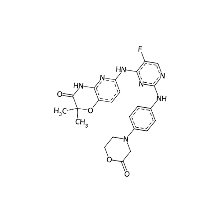 CC1(C)Oc2ccc(Nc3nc(Nc4ccc(N5CCOC(=O)C5)cc4)ncc3F)nc2NC1=O